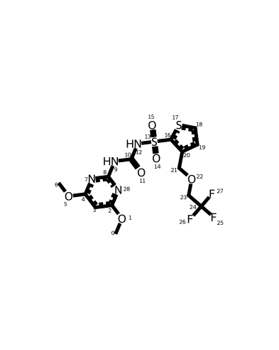 COc1cc(OC)nc(NC(=O)NS(=O)(=O)c2sccc2COCC(F)(F)F)n1